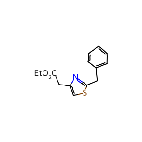 CCOC(=O)Cc1csc(Cc2ccccc2)n1